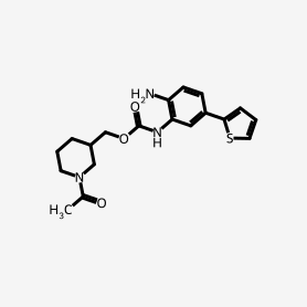 CC(=O)N1CCCC(COC(=O)Nc2cc(-c3cccs3)ccc2N)C1